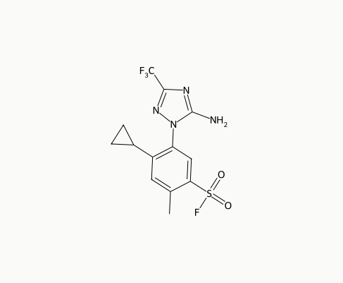 Cc1cc(C2CC2)c(-n2nc(C(F)(F)F)nc2N)cc1S(=O)(=O)F